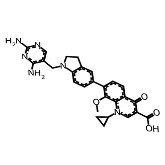 COc1c(-c2ccc3c(c2)CCN3Cc2cnc(N)nc2N)ccc2c(=O)c(C(=O)O)cn(C3CC3)c12